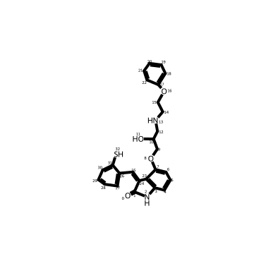 O=C1Nc2cccc(OCC(O)CNCCOc3ccccc3)c2C1=Cc1ccccc1S